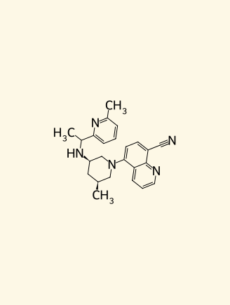 Cc1cccc(C(C)N[C@@H]2C[C@H](C)CN(c3ccc(C#N)c4ncccc34)C2)n1